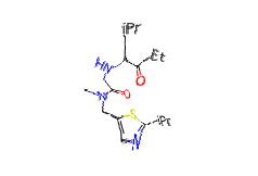 CCC(=O)C(NC(=O)N(C)Cc1cnc(C(C)C)s1)C(C)C